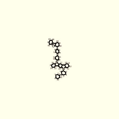 c1ccc(-c2cccc(-n3c4ccccc4c4cc5c(cc43)c3ccccc3n5-c3ccc(-c4ccc(-c5cccc6c5oc5ccccc56)cc4)cc3)c2)cc1